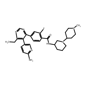 CCc1ncnc(-c2ccc(C(=O)NC3CCCN(C4CCN(C)CC4)C3)c(F)c2)c1-c1ccc(N)nc1